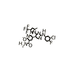 COc1ncc(-c2cnc(Nc3ccc(F)c(Cl)c3)nc2-n2nc(C(F)(F)F)cc2C)cc1C(N)=O